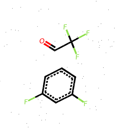 Fc1cccc(F)c1.O=CC(F)(F)F